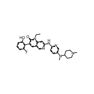 CCn1c(=O)c(-c2c(O)cccc2F)cc2cnc(Nc3ccc(N(C)C4CCN(C)CC4)cn3)cc21